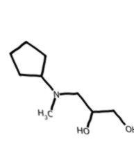 CN(CC(O)CO)C1CCCC1